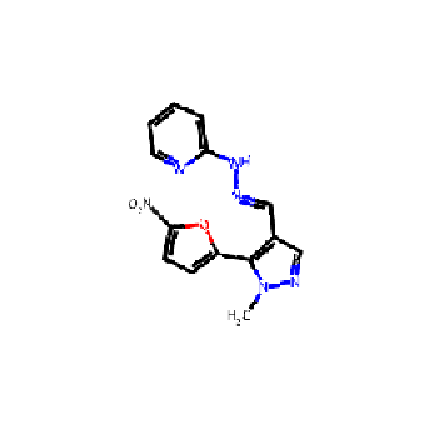 Cn1ncc(C=NNc2ccccn2)c1-c1ccc([N+](=O)[O-])o1